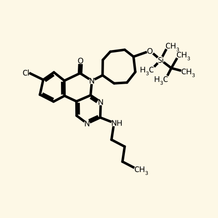 CCCCNc1ncc2c3ccc(Cl)cc3c(=O)n(C3CCCC(O[Si](C)(C)C(C)(C)C)CCC3)c2n1